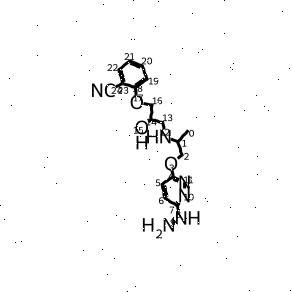 CC(COc1ccc(NN)nn1)NCC(O)COc1ccccc1C#N